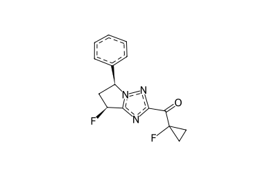 O=C(c1nc2n(n1)[C@H](c1ccccc1)C[C@@H]2F)C1(F)CC1